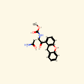 CC(C)(C)OC(=O)N[C@@H](CC(N)=O)C(=O)c1cccc2c1[CH]c1ccccc1O2